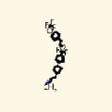 C/C=C/CC[C@H]1CC[C@H](c2ccc(C(F)(F)OCCc3ccc(OC(F)(F)F)cc3)cc2)CC1